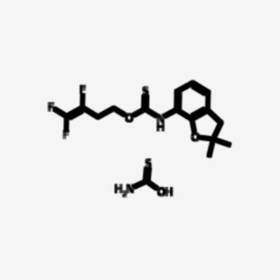 CC1(C)Cc2cccc(NC(=S)OCCC(F)=C(F)F)c2O1.NC(O)=S